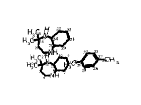 CC1(C)CCNC2CCCCC2N1.CC1(C)CCNC2CCCCC2N1.Cc1ccc(C)cc1